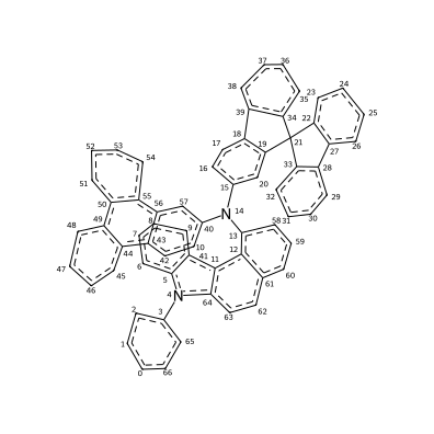 c1ccc(-n2c3ccccc3c3c4c(N(c5ccc6c(c5)C5(c7ccccc7-c7ccccc75)c5ccccc5-6)c5ccc6c7ccccc7c7ccccc7c6c5)cccc4ccc32)cc1